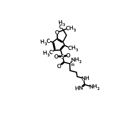 Cc1c(C)c(S(=O)(=O)C(=O)[C@@H](N)CCCNC(=N)N)c(C)c2c1OC(C)(C)C2